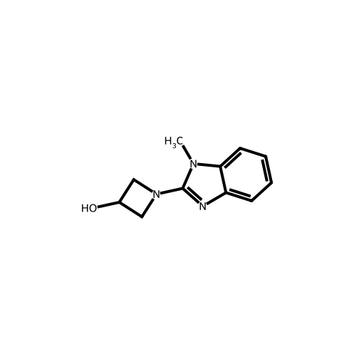 Cn1c(N2CC(O)C2)nc2ccccc21